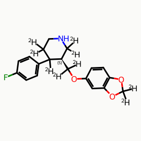 [2H]C1([2H])Oc2ccc(OC([2H])([2H])[C@@H]3C([2H])([2H])NCC([2H])([2H])C3([2H])c3ccc(F)cc3)cc2O1